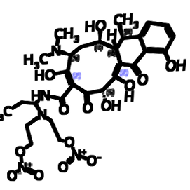 CCC(NC(=O)/C1=C(\O)[C@@H](N(C)C)C[C@@H](O)[C@H]2/C(=C(/O)[C@H](O)C1=O)C(=O)c1c(O)cccc1[C@@H]2C)N(CCO[N+](=O)[O-])CCO[N+](=O)[O-]